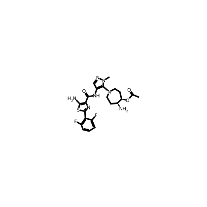 CC(=O)O[C@@H]1CCN(c2c(NC(=O)c3nc(-c4c(F)cccc4F)sc3N)cnn2C)CC[C@@H]1N